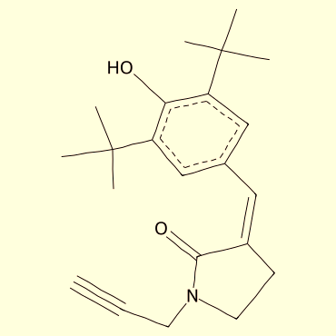 C#CCN1CCC(=Cc2cc(C(C)(C)C)c(O)c(C(C)(C)C)c2)C1=O